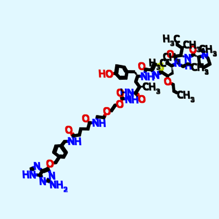 CCCO[C@H](C[C@H](C(C)C)N(CCC)C(=O)[C@@H](NC(=O)[C@H]1CCCCN1C)[C@@H](C)CC)c1nc(C(=O)N[C@@H](Cc2ccc(O)cc2)C[C@H](C)C(=O)NNC(=O)OCCOCCNC(=O)CCCC(=O)NCc2ccc(COc3nc(N)nc4[nH]cnc34)cc2)cs1